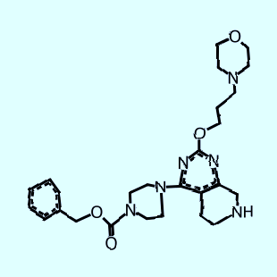 O=C(OCc1ccccc1)N1CCN(c2nc(OCCCN3CCOCC3)nc3c2CCNC3)CC1